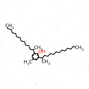 CCCCCCCCCCCCC(C)c1cc(C)cc(C(C)CCCCCCCCCCCC)c1O